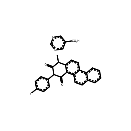 CC1C(=O)C(c2ccc(F)cc2)C(=O)c2c1ccc1c2ccc2ccccc21.O=C(O)c1cncnc1